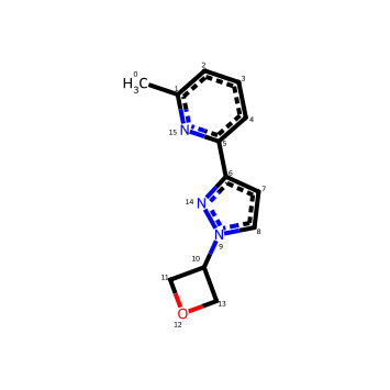 Cc1cccc(-c2ccn(C3COC3)n2)n1